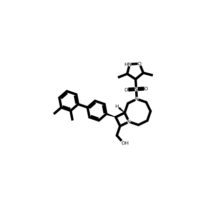 Cc1cccc(-c2ccc([C@@H]3C(CO)N4CCCCN(S(=O)(=O)C5C(C)NOC5C)C[C@@H]34)cc2)c1C